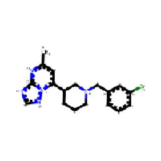 Cc1cc(C2CCCN(Cc3cccc(Br)c3)C2)n2ncnc2n1